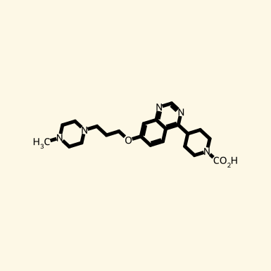 CN1CCN(CCCOc2ccc3c(C4CCN(C(=O)O)CC4)ncnc3c2)CC1